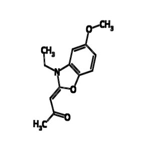 CCN1/C(=C/C(C)=O)Oc2ccc(OC)cc21